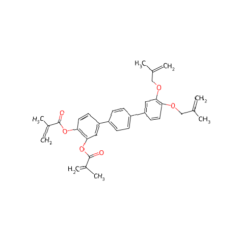 C=C(C)COc1ccc(-c2ccc(-c3ccc(OC(=O)C(=C)C)c(OC(=O)C(=C)C)c3)cc2)cc1OCC(=C)C